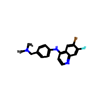 CN(C)Cc1ccc(Nc2[c]cnc3cc(F)c(Br)cc23)cc1